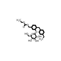 CCOC(=O)OCc1ccc(Cc2ccc(CC)cc2)c(O[C@@H]2O[C@H](CO)[C@@H](O)[C@H](O)[C@H]2O)c1